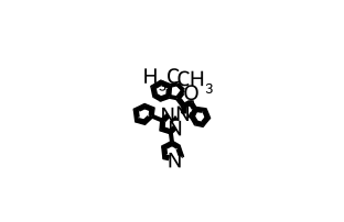 CC1(C)c2ccccc2-c2c1oc1c3ccccc3n(-c3nc(-c4ccccc4)cc(-c4ccncc4)n3)c21